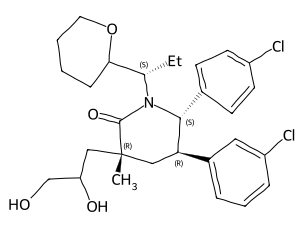 CC[C@@H](C1CCCCO1)N1C(=O)[C@@](C)(CC(O)CO)C[C@H](c2cccc(Cl)c2)[C@H]1c1ccc(Cl)cc1